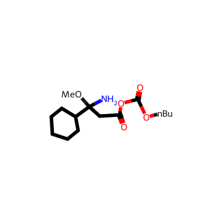 CCCCOC(=O)OC(=O)CC(N)(OC)C1CCCCC1